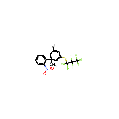 CC1=CC(SC(F)(F)C(F)(F)C(F)(F)F)=CC(C)(c2ccccc2[N+](=O)[O-])[CH]1